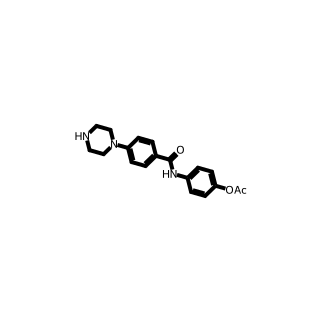 CC(=O)Oc1ccc(NC(=O)c2ccc(N3CCNCC3)cc2)cc1